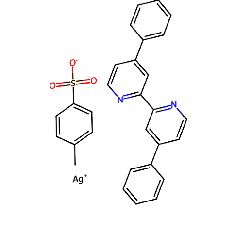 Cc1ccc(S(=O)(=O)[O-])cc1.[Ag+].c1ccc(-c2ccnc(-c3cc(-c4ccccc4)ccn3)c2)cc1